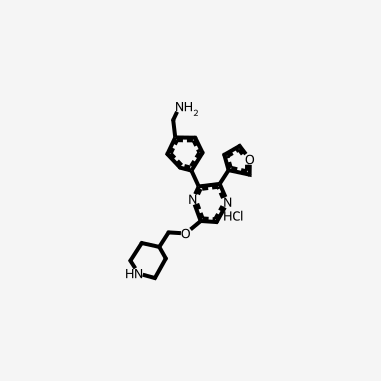 Cl.NCc1ccc(-c2nc(OCC3CCNCC3)cnc2-c2ccoc2)cc1